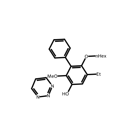 CCCCCCOc1c(CC)cc(O)c(OC)c1-c1ccccc1.c1cnnnc1